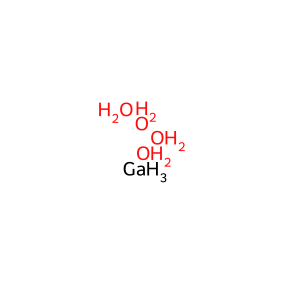 O.O.O.O.[GaH3]